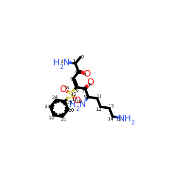 CC(N)C(=O)C=C(C(=O)C(N)CCCCN)S(=O)(=O)c1ccccc1